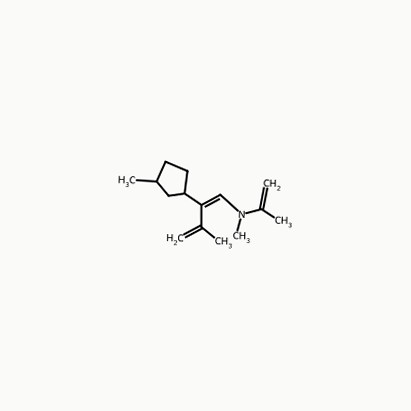 C=C(C)/C(=C\N(C)C(=C)C)C1CCC(C)C1